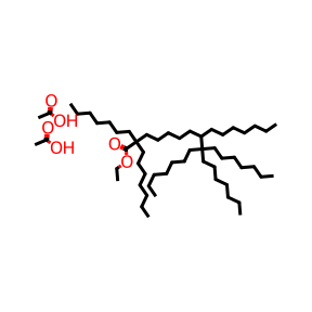 CC(=O)O.CC(=O)O.CCCCCCCC(CCCCCC(CCCCCCC)(CCCCCCC)C(=O)OCC)C(CCCCCCC)(CCCCCCC)CCCCCCC